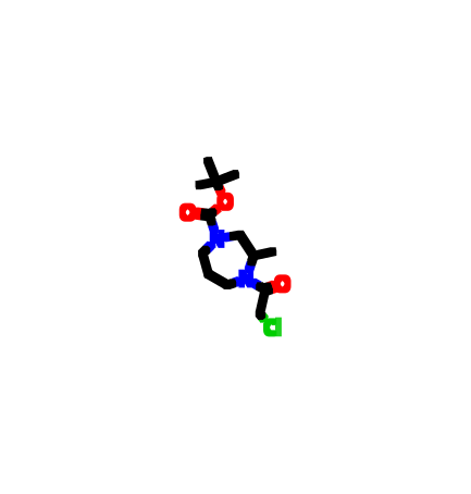 CC1CN(C(=O)OC(C)(C)C)CCCN1C(=O)CCl